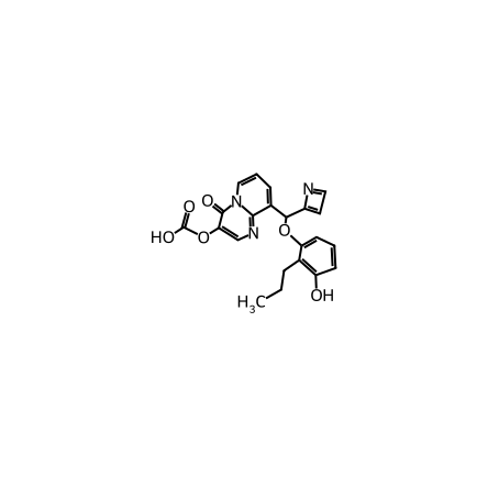 CCCc1c(O)cccc1OC(C1=CC=N1)c1cccn2c(=O)c(OC(=O)O)cnc12